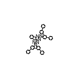 c1ccc(-c2ccc3c(c2)c2cc(-c4ccccc4)ccc2n3-c2nc3c4c(nc(-n5c6ccc(-c7ccccc7)cc6c6cc(-c7ccccc7)ccc65)nc4n2)-c2ccccc2-3)cc1